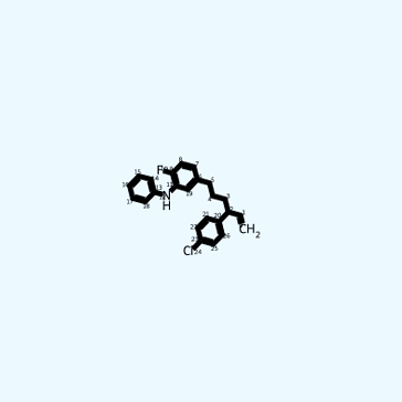 C=CC(CCCc1ccc(F)c(Nc2ccccc2)c1)c1ccc(Cl)cc1